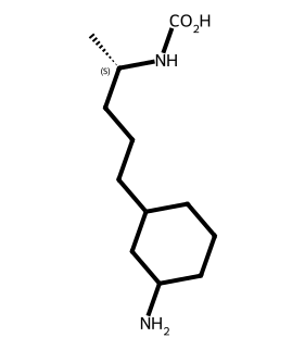 C[C@@H](CCCC1CCCC(N)C1)NC(=O)O